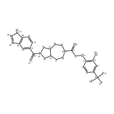 O=C(COc1ccc(C(F)(F)F)cc1Cl)N1CCC2CN(C(=O)c3ccc4[nH]nnc4c3)CC2CC1